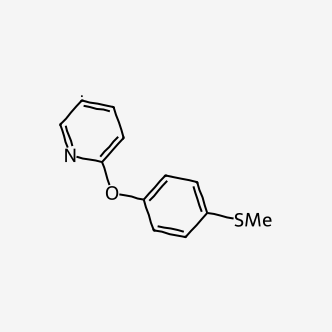 CSc1ccc(Oc2cc[c]cn2)cc1